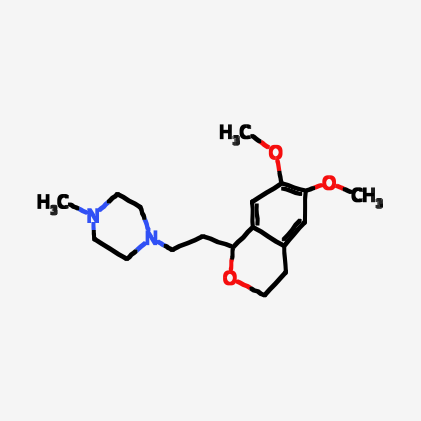 COc1cc2c(cc1OC)C(CCN1CCN(C)CC1)OCC2